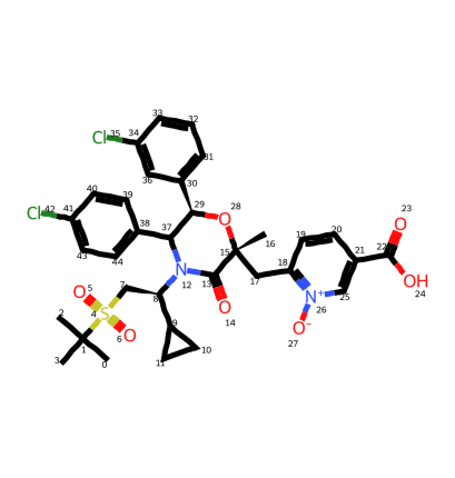 CC(C)(C)S(=O)(=O)C[C@H](C1CC1)N1C(=O)[C@@](C)(Cc2ccc(C(=O)O)c[n+]2[O-])O[C@H](c2cccc(Cl)c2)C1c1ccc(Cl)cc1